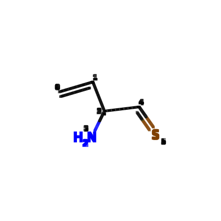 C=C[C](N)C=S